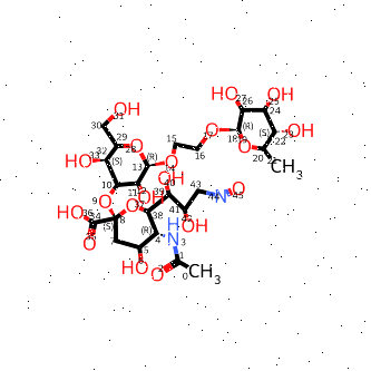 CC(=O)N[C@@H]1C(O)C[C@](OC2C(O)[C@H](OCCO[C@@H]3OC(C)[C@@H](O)C(O)C3O)OC(CO)[C@@H]2O)(C(=O)O)OC1C(O)C(O)CN=O